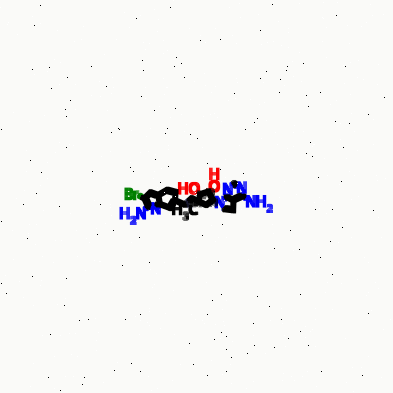 C[C@]1(/C=C/c2ccc3cc(Br)c(N)nc3c2)C[C@@H](n2ccc3c(N)ncnc32)[C@H](O)[C@@H]1O